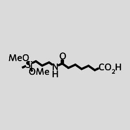 CO[Si](C)(CCCNC(=O)CCCCCC(=O)O)OC